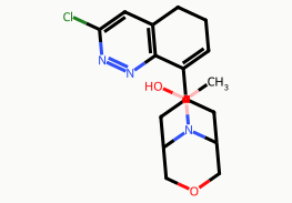 CB(O)N1C2COCC1CC(C1=CCCc3cc(Cl)nnc31)C2